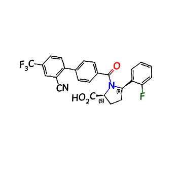 N#Cc1cc(C(F)(F)F)ccc1-c1ccc(C(=O)N2[C@@H](c3ccccc3F)CC[C@H]2C(=O)O)cc1